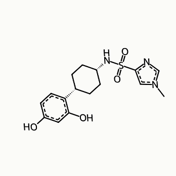 Cn1cnc(S(=O)(=O)N[C@H]2CC[C@@H](c3ccc(O)cc3O)CC2)c1